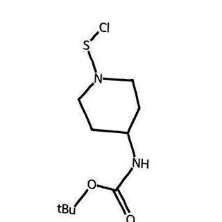 CC(C)(C)OC(=O)NC1CCN(SCl)CC1